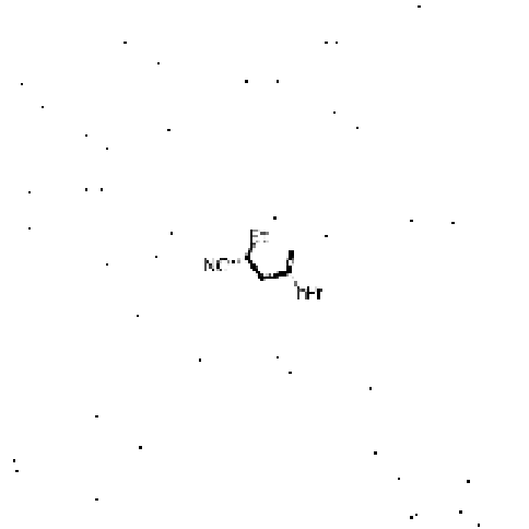 CCC[C@@H](C)C[C@H](C#N)CC